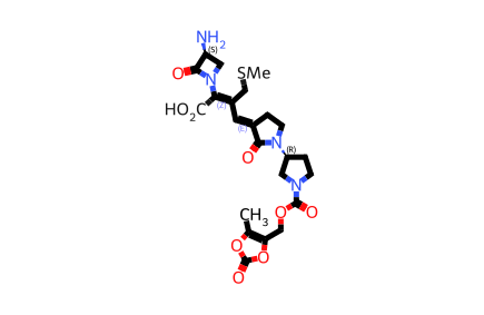 CSCC(/C=C1\CCN([C@@H]2CCN(C(=O)OCc3oc(=O)oc3C)C2)C1=O)=C(/C(=O)O)N1C[C@H](N)C1=O